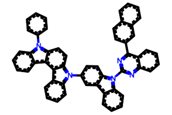 c1ccc(-n2c3ccccc3c3c4c5ccccc5n(-c5ccc6c(c5)c5ccccc5n6-c5nc(-c6ccc7ccccc7c6)c6ccccc6n5)c4ccc32)cc1